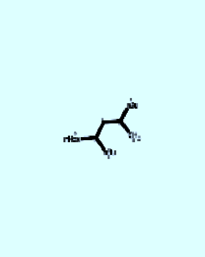 CCCCCCC(CCCC)CC(C)CCCC